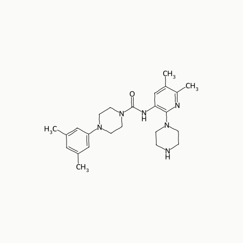 Cc1cc(C)cc(N2CCN(C(=O)Nc3cc(C)c(C)nc3N3CCNCC3)CC2)c1